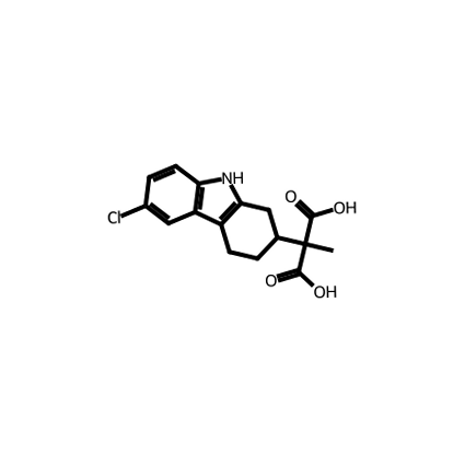 CC(C(=O)O)(C(=O)O)C1CCc2c([nH]c3ccc(Cl)cc23)C1